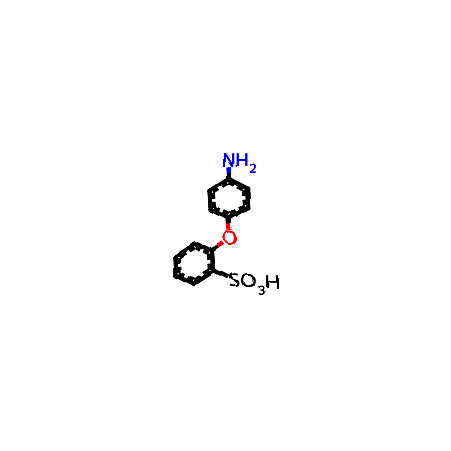 Nc1ccc(Oc2ccccc2S(=O)(=O)O)cc1